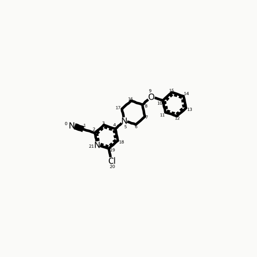 N#Cc1cc(N2CCC(Oc3ccccc3)CC2)cc(Cl)n1